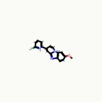 COc1ccc2nc3cc(-c4cccc(F)n4)ccn3c2c1